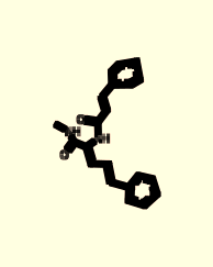 CNC(=O)/C(=C/C=C/c1ccccc1)NC(=O)C=Cc1ccccc1